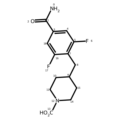 NC(=O)c1cc(F)c(CC2CCN(C(=O)O)CC2)c(F)c1